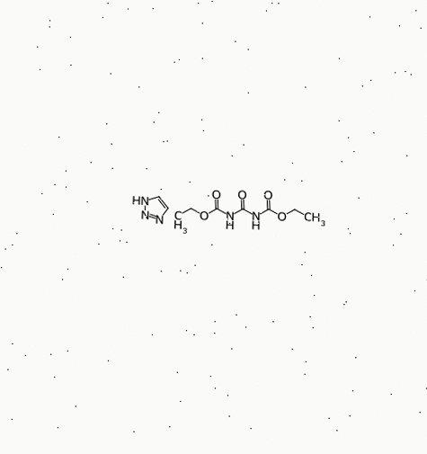 CCOC(=O)NC(=O)NC(=O)OCC.c1c[nH]nn1